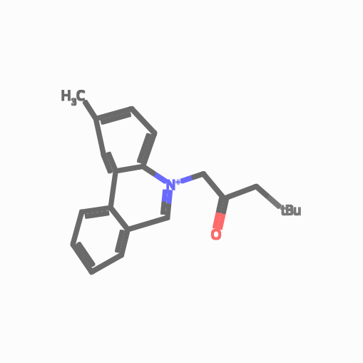 Cc1ccc2c(c1)c1ccccc1c[n+]2CC(=O)CC(C)(C)C